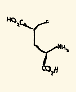 N[C@H](C[C@@H](F)C(=O)O)C(=O)O